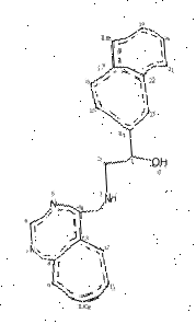 OC(CNc1ncnc2ccccc12)c1ccc2ccccc2c1